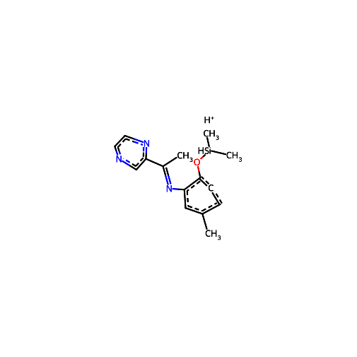 CC(=Nc1cc(C)ccc1O[SiH](C)C)c1cnccn1.[H+]